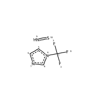 FC(F)(F)n1ccnc1.N=S